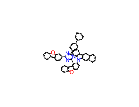 c1ccc(-c2ccc(-c3nc(-c4ccc5c(c4)oc4ccccc45)nc(-c4c(-n5c6ccccc6c6cc7ccccc7cc65)ccc5oc6ccccc6c45)n3)cc2)cc1